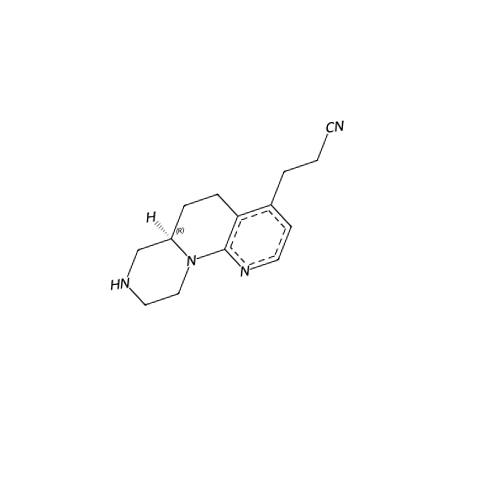 N#CCCc1ccnc2c1CC[C@@H]1CNCCN21